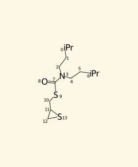 CC(C)CCN(CCC(C)C)C(=O)SCC1CS1